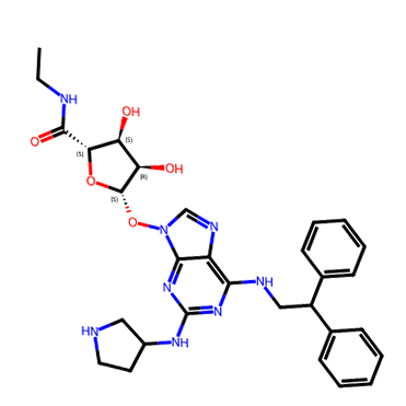 CCNC(=O)[C@H]1O[C@@H](On2cnc3c(NCC(c4ccccc4)c4ccccc4)nc(NC4CCNC4)nc32)[C@H](O)[C@@H]1O